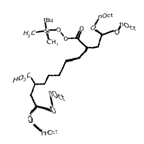 CCCCCCCCOC(CC(CCCCCC(CC(OCCCCCCCC)OCCCCCCCC)C(=O)OO[Si](C)(C)C(C)(C)C)C(=O)O)OCCCCCCCC